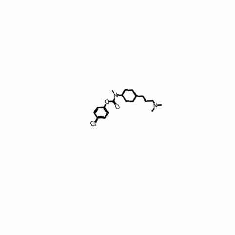 CN(C)CCCC1CCC(N(C)C(=O)Oc2ccc(Cl)cc2)CC1